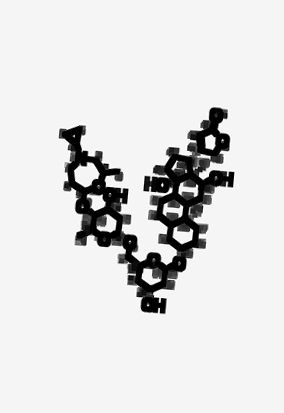 CC1CN(C2CC2)CCC(O[C@@H]2[C@H](C)O[C@@H](OC[C@@H]3C[C@@H](O)C[C@H](O[C@H]4CC[C@@]5(C)C(CCC6C5C[C@H](O)[C@]5(C)[C@@H](C7=CC(=O)OC7)CC[C@]65O)C4)O3)C[C@@H]2O)O1